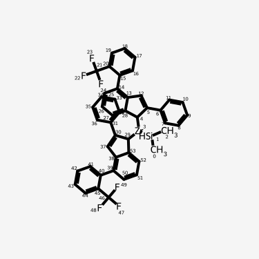 C[SiH](C)[Zr]([CH]1C(c2ccccc2)=Cc2c(-c3ccccc3C(F)(F)F)cccc21)[CH]1C(c2ccccc2)=Cc2c(-c3ccccc3C(F)(F)F)cccc21